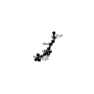 CCOC(=O)c1c(C)oc2c1c(C(NCCNCc1cnc3c(O)c(C(Nc4ccc(COc5ccc(-c6ccc(/C=C7\SC(=S)N([C@@H](Cc8ccccc8)C(=O)O)C7=O)cn6)cc5OC)cn4)c4ccccc4OCC(=O)O)cc(Cl)c3c1)c1ccncc1)c(O)c1ccccc12